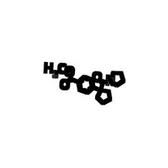 COC(=O)c1ccc(C2(C(=O)N3CCCC3)CCCC2)cc1